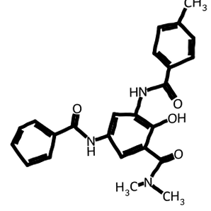 Cc1ccc(C(=O)Nc2cc(NC(=O)c3ccccc3)cc(C(=O)N(C)C)c2O)cc1